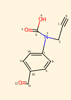 C#CCN(C(=O)O)c1ccc(C=O)cc1